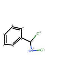 ClNC(Cl)c1ccccc1